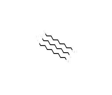 NCCCCCCCCN.NCCCCCCCCN.NCCCCCCCCN